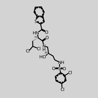 O=C(N[C@@H](CC(Cl)Cl)C(=O)NC[C@H](O)CCNS(=O)(=O)c1ccc(Cl)cc1Cl)c1cc2ccccc2s1